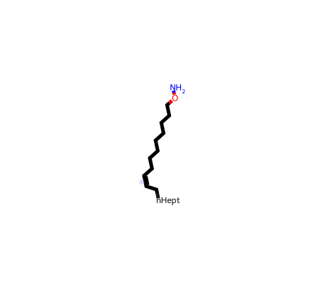 CCCCCCCC/C=C\CCCCCCCCON